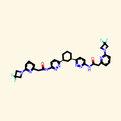 O=C(Cc1cccc(N2CC(F)(F)C2)n1)Nc1ccc([C@@H]2CCC[C@H](c3ccc(NC(=O)Cc4cccc(N5CC(F)(F)C5)n4)nn3)C2)nn1